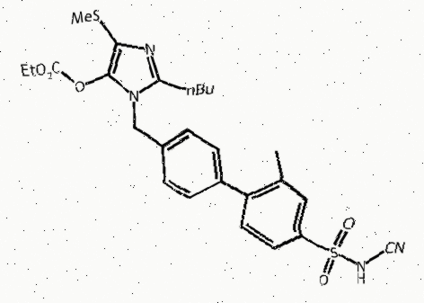 CCCCc1nc(SC)c(OC(=O)OCC)n1Cc1ccc(-c2ccc(S(=O)(=O)NC#N)cc2C)cc1